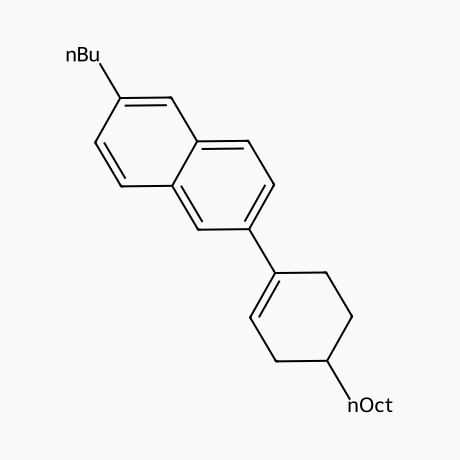 CCCCCCCCC1CC=C(c2ccc3cc(CCCC)ccc3c2)CC1